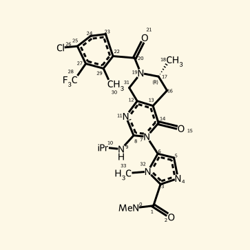 CNC(=O)c1ncc(-n2c(NC(C)C)nc3c(c2=O)C[C@@H](C)N(C(=O)c2ccc(Cl)c(C(F)(F)F)c2C)C3)n1C